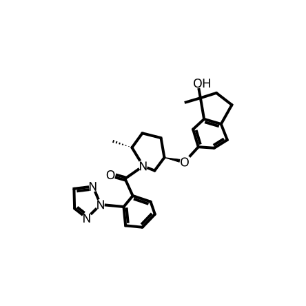 C[C@@H]1CC[C@@H](Oc2ccc3c(c2)C(C)(O)CC3)CN1C(=O)c1ccccc1-n1nccn1